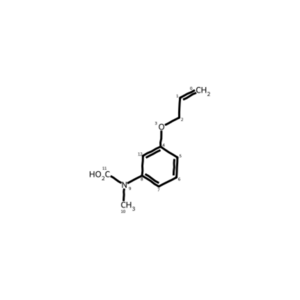 C=CCOc1cccc(N(C)C(=O)O)c1